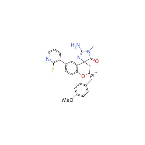 COc1ccc(C[C@]2(C)CC3(N=C(N)N(C)C3=O)c3cc(-c4cccnc4F)ccc3O2)cc1